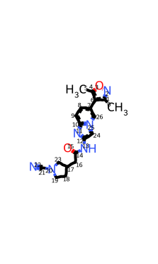 Cc1noc(C)c1-c1ccc2nc(NC(=O)CC3CCN(C#N)C3)cn2c1